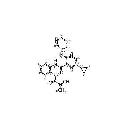 CN(C)C(=O)Oc1ncncc1NC(=O)c1nc(C2CC2)cnc1Nc1cncnc1